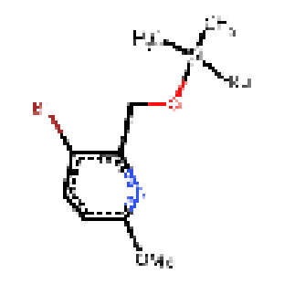 COc1ccc(Br)c(CO[Si](C)(C)C(C)(C)C)n1